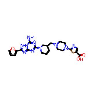 Nc1nc(N2CCCC(CN3CCN(c4ncc(C(=O)O)s4)CC3)C2)nc2nc(-c3ccco3)nn12